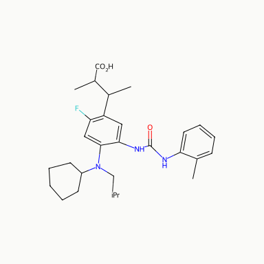 Cc1ccccc1NC(=O)Nc1cc(C(C)C(C)C(=O)O)c(F)cc1N(CC(C)C)C1CCCCC1